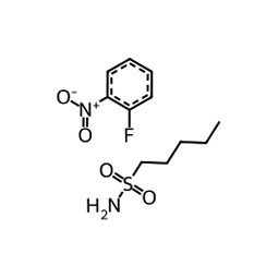 CCCCCS(N)(=O)=O.O=[N+]([O-])c1ccccc1F